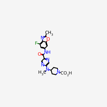 Cc1nc2c(F)cc(NC(=O)c3cnc(N(C)C4CCN(C(=O)O)CC4)cn3)cc2o1